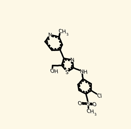 Cc1cc(-c2nc(Nc3ccc(S(C)(=O)=O)c(Cl)c3)sc2CO)ccn1